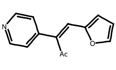 CC(=O)C(=Cc1ccco1)c1ccncc1